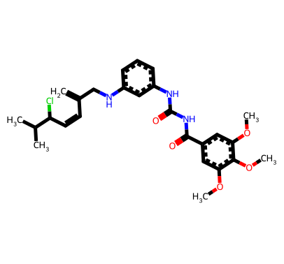 C=C(/C=C\C(Cl)C(C)C)CNc1cccc(NC(=O)NC(=O)c2cc(OC)c(OC)c(OC)c2)c1